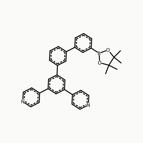 CC1(C)OB(c2cccc(-c3cccc(-c4cc(-c5ccncc5)cc(-c5ccncc5)c4)c3)c2)OC1(C)C